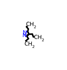 C=CCC1=C(CC=C)C(CC=C)N=N1